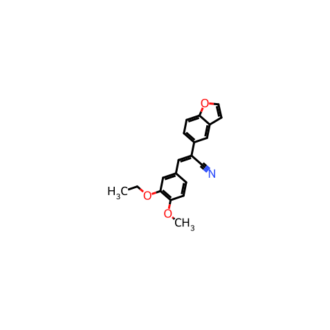 CCOc1cc(/C=C(\C#N)c2ccc3occc3c2)ccc1OC